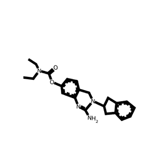 CCN(CC)C(=O)Oc1ccc2c(c1)N=C(N)N(C1Cc3ccccc3C1)C2